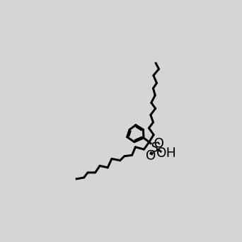 CCCCCCCCCCCCC(CCCCCCCCCCCC)(c1ccccc1)S(=O)(=O)O